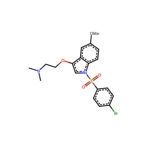 COc1ccc2c(c1)c(OCCN(C)C)cn2S(=O)(=O)c1ccc(Br)cc1